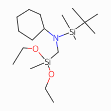 CCO[Si](C)(CN(C1CCCCC1)[Si](C)(C)C(C)(C)C)OCC